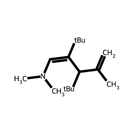 C=C(C)C(/C(=C\N(C)C)C(C)(C)C)C(C)(C)C